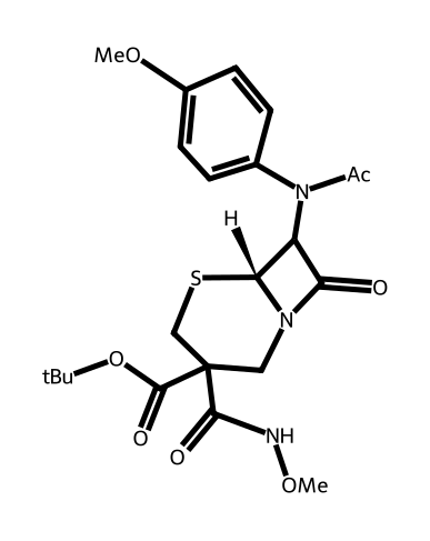 CONC(=O)C1(C(=O)OC(C)(C)C)CS[C@@H]2C(N(C(C)=O)c3ccc(OC)cc3)C(=O)N2C1